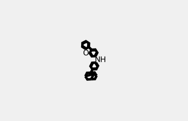 c1ccc2c(c1)oc1cc(Nc3ccc(C45CC6CC(CC(C6)C4)C5)cc3)ccc12